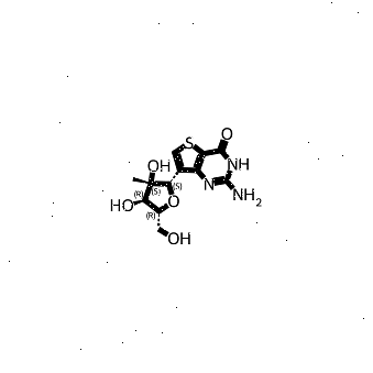 C[C@]1(O)[C@H](O)[C@@H](CO)O[C@H]1c1csc2c(=O)[nH]c(N)nc12